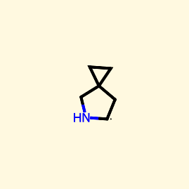 [CH]1CC2(CC2)CN1